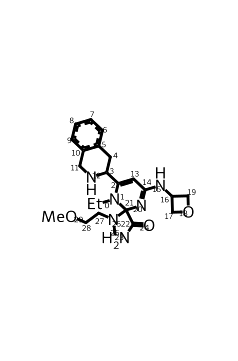 CCN1C(C2Cc3ccccc3CN2)=CC(NC2COC2)=NC1(C(N)=O)N(C)CCOC